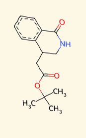 CC(C)(C)OC(=O)CC1CNC(=O)c2ccccc21